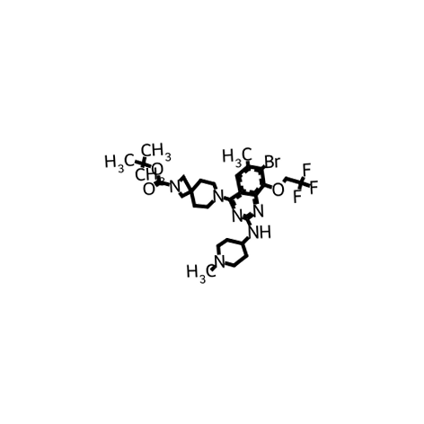 Cc1cc2c(N3CCC4(CC3)CN(C(=O)OC(C)(C)C)C4)nc(NC3CCN(C)CC3)nc2c(OCC(F)(F)F)c1Br